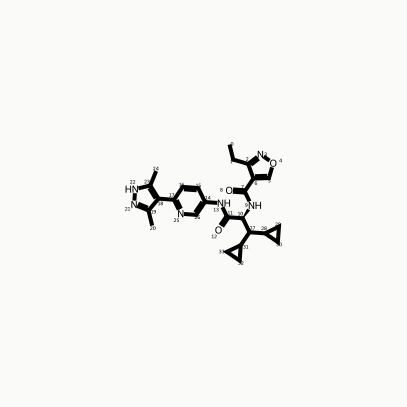 CCc1nocc1C(=O)N[C@H](C(=O)Nc1ccc(-c2c(C)n[nH]c2C)nc1)C(C1CC1)C1CC1